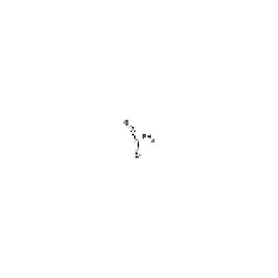 O=[C]=[Rh].P